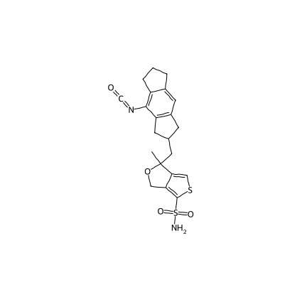 CC1(CC2Cc3cc4c(c(N=C=O)c3C2)CCC4)OCc2c1csc2S(N)(=O)=O